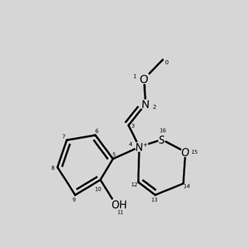 CON=C[N+]1(c2ccccc2O)C=CCOS1